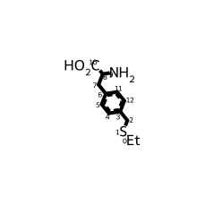 CCSCc1ccc(CC(N)C(=O)O)cc1